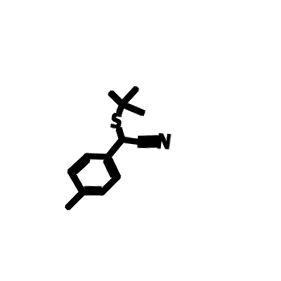 Cc1ccc(C(C#N)SC(C)(C)C)cc1